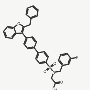 O=C(O)CN(Cc1cccc(F)c1)S(=O)(=O)c1ccc(-c2ccc(-c3c(Cc4ccccc4)oc4ccccc34)cc2)cc1